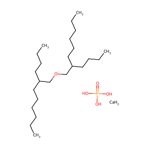 CCCCCCC(CCCC)COCC(CCCC)CCCCCC.O=P(O)(O)O.[CaH2]